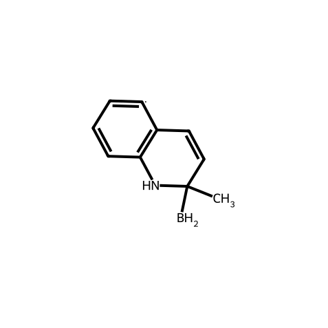 BC1(C)C=Cc2[c]cccc2N1